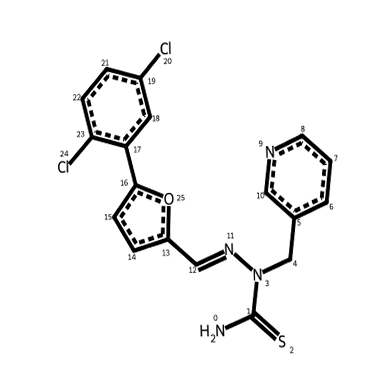 NC(=S)N(Cc1cccnc1)N=Cc1ccc(-c2cc(Cl)ccc2Cl)o1